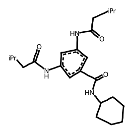 CC(C)CC(=O)Nc1cc(NC(=O)CC(C)C)cc(C(=O)NC2CCCCC2)c1